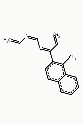 C=C/N=C\N=C(/C=C)c1ccc2ccccc2c1C